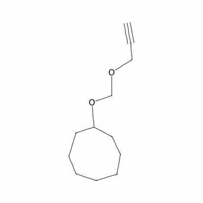 C#CCOCOC1CCCCCCC1